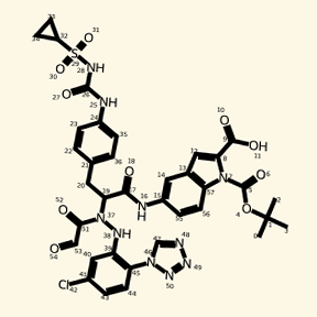 CC(C)(C)OC(=O)n1c(C(=O)O)cc2cc(NC(=O)C(Cc3ccc(NC(=O)NS(=O)(=O)C4CC4)cc3)N(Nc3cc(Cl)ccc3-n3cnnn3)C(=O)C=O)ccc21